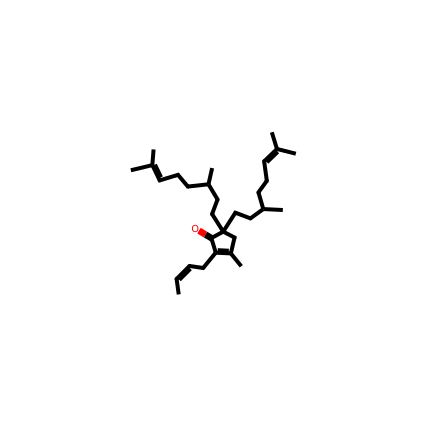 C/C=C\CC1=C(C)CC(CCC(C)CCC=C(C)C)(CCC(C)CCC=C(C)C)C1=O